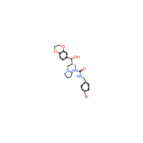 O=C(NCc1ccc(Br)cc1)NC[C@H](CN1CCCC1)[C@H](O)c1ccc2c(c1)OCCO2